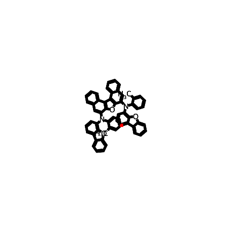 Cc1ccccc1N(c1cccc2c1oc1ccccc12)c1cc2ccccc2c2c1oc1c(N(c3ccccc3C)c3cccc4c3oc3ccccc34)cc3ccccc3c12